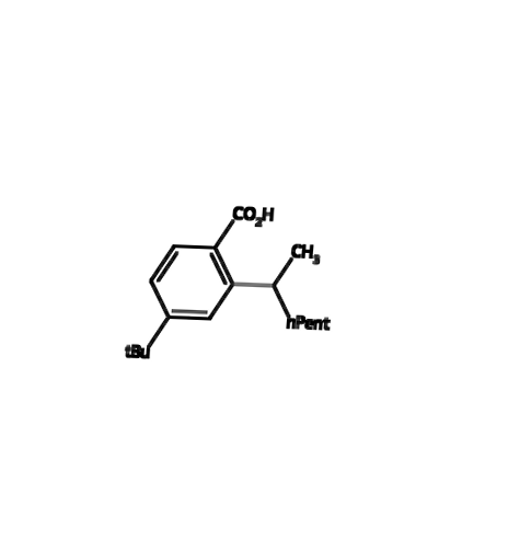 CCCCCC(C)c1cc(C(C)(C)C)ccc1C(=O)O